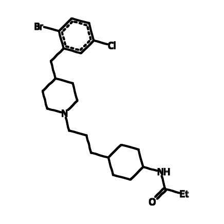 CCC(=O)NC1CCC(CCCN2CCC(Cc3cc(Cl)ccc3Br)CC2)CC1